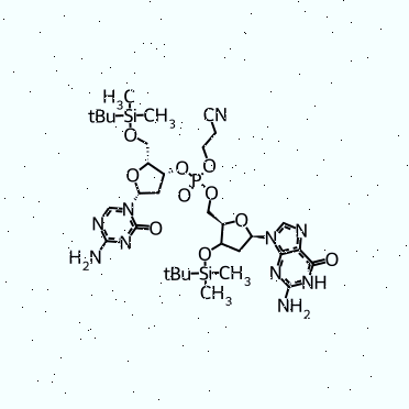 CC(C)(C)[Si](C)(C)OC[C@H]1O[C@@H](n2cnc(N)nc2=O)C[C@H]1OP(=O)(OCCC#N)OC[C@H]1O[C@@H](n2cnc3c(=O)[nH]c(N)nc32)CC1O[Si](C)(C)C(C)(C)C